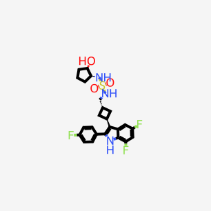 O=S(=O)(NC[C@H]1C[C@H](c2c(-c3ccc(F)cc3)[nH]c3c(F)cc(F)cc32)C1)N[C@@H]1CCC[C@H]1O